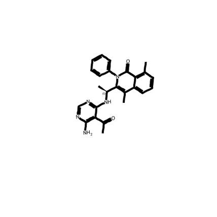 CC(=O)c1c(N)ncnc1N[C@@H](C)c1c(C)c2cccc(C)c2c(=O)n1-c1ccccc1